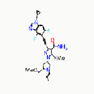 CC=CN1C[C@@H](n2nc(C#Cc3c(F)cc4c(ncn4C4CC4)c3F)c(C(N)=O)c2NC)C[C@@H]1COC